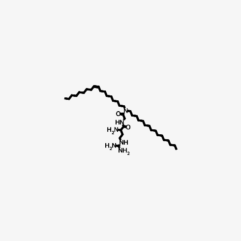 CCCCCCCC/C=C\CCCCCCCCN(CCCCCCCCCCCCCCCC)C(=O)CNC(=O)C(N)CCNC(N)N